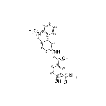 CN(CC1CCC(NCC(O)c2ccc(O)c(C(N)=O)c2)CC1)c1ccccc1